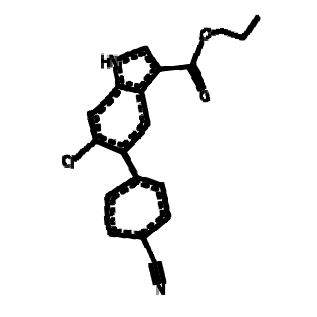 CCOC(=O)c1c[nH]c2cc(Cl)c(-c3ccc(C#N)cc3)cc12